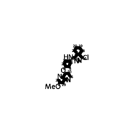 COc1cnc2c(Oc3ccc(Nc4nnc(Cl)c5ccccc45)cc3)ccnc2c1